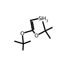 CC(C)(C)OC(=C[SiH3])OC(C)(C)C